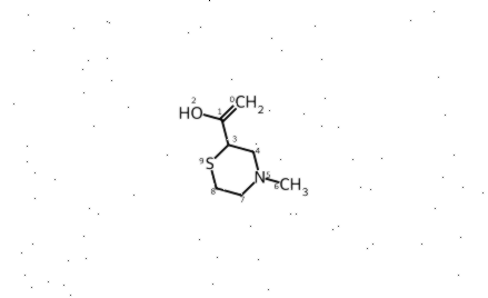 C=C(O)C1CN(C)CCS1